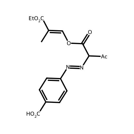 CCOC(=O)C(C)=COC(=O)C(N=Nc1ccc(C(=O)O)cc1)C(C)=O